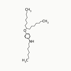 CCCCCCCNc1ccc(OC(CCCCCCC)CCCCCCC)cc1